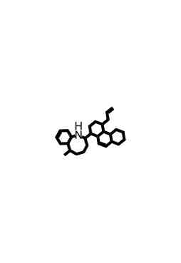 C=CCC1CCC(C2CCCC(C)C3CC=CCC3N2)C2C=CC3CCCCC3C12